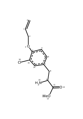 C=CCOc1ccc(CC(N)C(=O)OC)cc1Cl